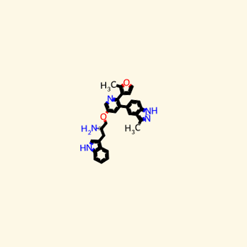 Cc1occc1-c1ncc(OC[C@@H](N)Cc2c[nH]c3ccccc23)cc1-c1ccc2[nH]nc(C)c2c1